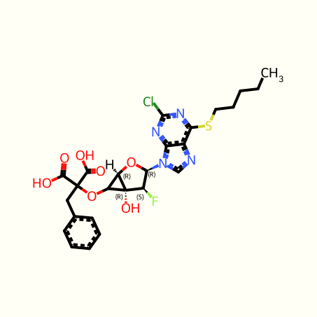 CCCCCSc1nc(Cl)nc2c1ncn2[C@@H]1O[C@@H]2C(OC(Cc3ccccc3)(C(=O)O)C(=O)O)[C@]2(O)[C@@H]1F